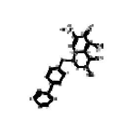 CCN1CN(Cc2ccc(-c3c#cccc3)cc2)n2cc(C(=O)O)c(=O)c(O)c2C1=O